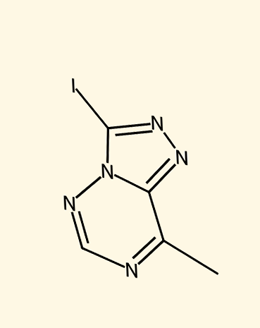 Cc1ncnn2c(I)nnc12